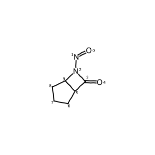 O=NN1C(=O)C2CCCC21